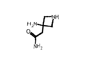 NC(=O)CC1(N)CNC1